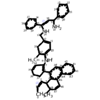 C/C=C\C1c2c(C3=C(NC4=CC=C(CN/C(=C\C(N)c5ccccc5)c5ccccc5)CC4C)C=CCC3)cc3ccccc3c2C=CC1C